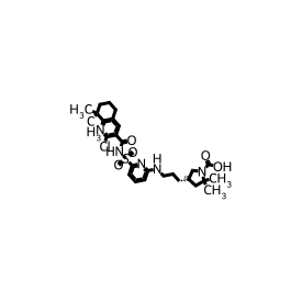 CC1(C)CCCc2cc(C(=O)NS(=O)(=O)c3cccc(NCCC[C@@H]4CN(C(=O)O)C(C)(C)C4)n3)c(Cl)nc21